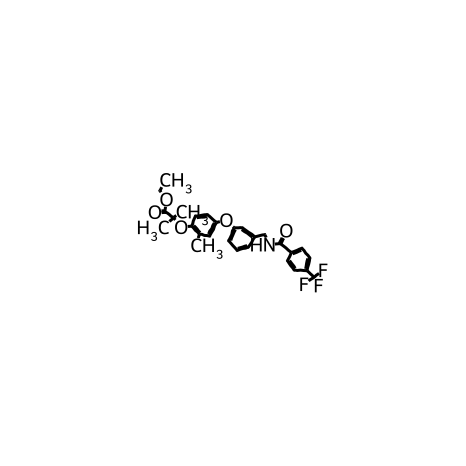 CCOC(=O)C(C)(C)Oc1ccc(Oc2cccc(CNC(=O)c3ccc(C(F)(F)F)cc3)c2)cc1C